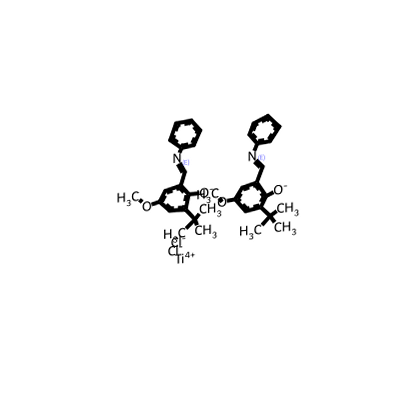 COc1cc(/C=N/c2ccccc2)c([O-])c(C(C)(C)C)c1.COc1cc(/C=N/c2ccccc2)c([O-])c(C(C)(C)C)c1.[Cl-].[Cl-].[Ti+4]